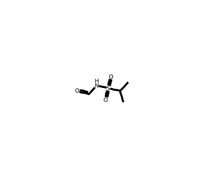 CC(C)S(=O)(=O)NC=O